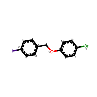 Brc1ccc(OCc2ccc(I)cc2)cc1